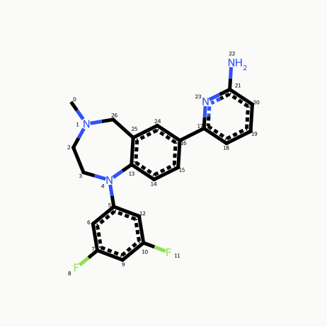 CN1CCN(c2cc(F)cc(F)c2)c2ccc(-c3cccc(N)n3)cc2C1